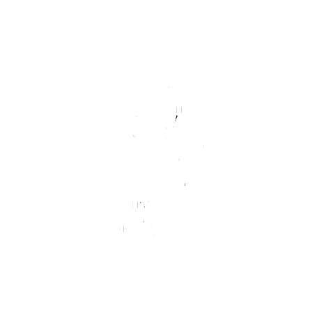 C[C@H](CC[S@](=N)(=O)C(C)(C)C)C1=CC[C@H]2C(=O)CCC[C@]12C